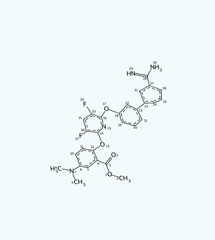 COC(=O)c1cc(N(C)C)ccc1Oc1nc(Oc2cccc(-c3cccc(C(=N)N)c3)c2)c(F)cc1F